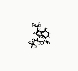 Cc1ccc([N+](=O)[O-])c2c1c(C(F)F)cn2C(=O)OC(C)(C)C